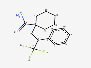 NC(=O)C1(CC(c2ccccc2)C(F)(F)F)CCCCC1